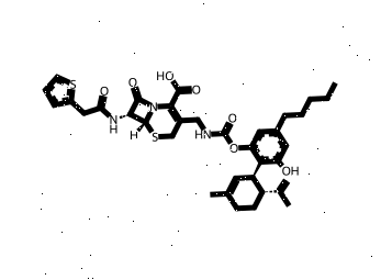 C=C(C)[C@@H]1CCC(C)=C[C@H]1c1c(O)cc(CCCCC)cc1OC(=O)NCC1=C(C(=O)O)N2C(=O)[C@@H](NC(=O)Cc3cccs3)[C@H]2SC1